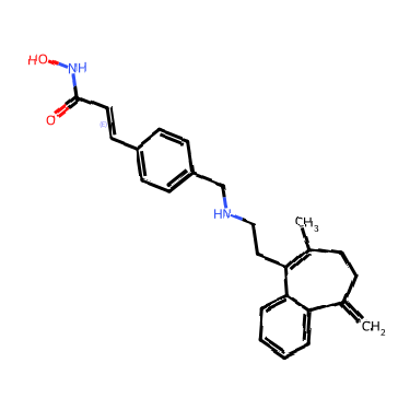 C=C1CCC(C)=C(CCNCc2ccc(/C=C/C(=O)NO)cc2)c2ccccc21